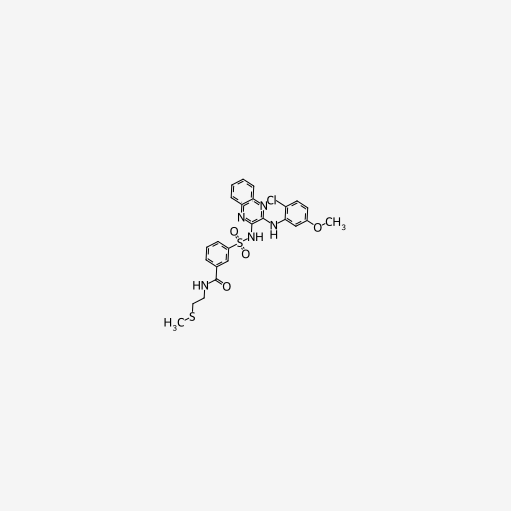 COc1ccc(Cl)c(Nc2nc3ccccc3nc2NS(=O)(=O)c2cccc(C(=O)NCCSC)c2)c1